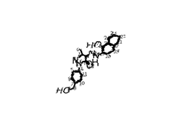 CC1=NN(c2ccc(CO)cc2)C(=O)/C1=N\Nc1ccc2ccccc2c1O